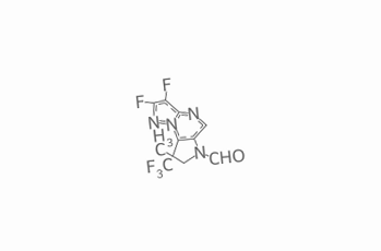 CC1(C(F)(F)F)CN(C=O)c2cnc3c(F)c(F)nn3c21